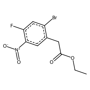 CCOC(=O)Cc1cc([N+](=O)[O-])c(F)cc1Br